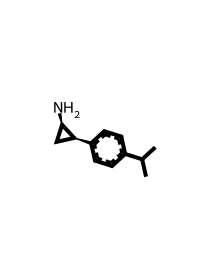 CC(C)c1ccc([C@H]2C[C@H]2N)cc1